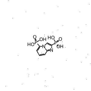 O=P(O)(O)c1cn2c(P(=O)(O)O)cccc2n1